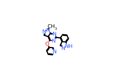 Cn1ncc2c(Oc3cccnc3)nc(-c3cccc4[nH]ncc34)nc21